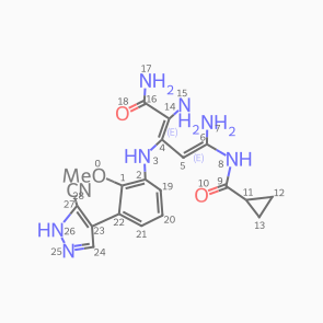 COc1c(NC(/C=C(\N)NC(=O)C2CC2)=C(/N)C(N)=O)cccc1-c1cn[nH]c1C#N